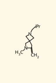 C=C1CC2(CN(CC(C)C)C2)CN1C